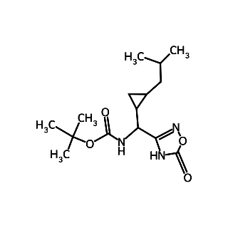 CC(C)CC1CC1C(NC(=O)OC(C)(C)C)c1noc(=O)[nH]1